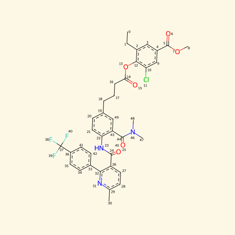 CCc1cc(C(=O)OC)cc(Cl)c1OC(=O)CCCc1ccc(NC(=O)c2ccc(C)nc2-c2ccc(C(F)(F)F)cc2)c(C(=O)N(C)C)c1